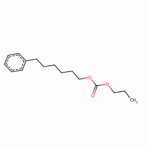 CCCOC(=O)OCCCCCCc1ccccc1